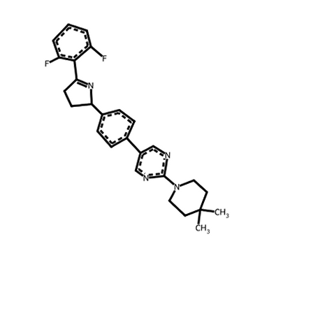 CC1(C)CCN(c2ncc(-c3ccc(C4CCC(c5c(F)cccc5F)=N4)cc3)cn2)CC1